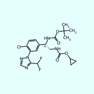 CC(C)(C)OC(=O)N[C@H](CNC(=O)OC1CC1)c1ccc(Cl)c(-n2ncnc2C(F)F)c1